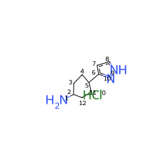 Cl.NC1CCC(c2cc[nH]n2)CC1